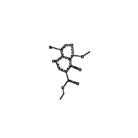 CCOC(=O)c1c[nH]c2c(Br)ccc(OC)c2c1=O